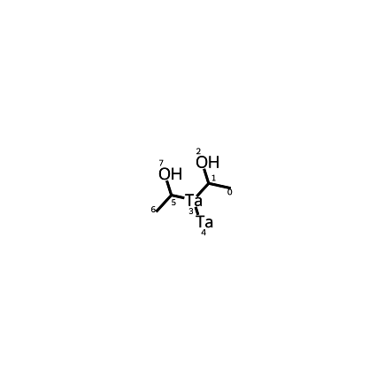 C[CH](O)[Ta]([Ta])[CH](C)O